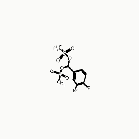 CS(=O)(=O)OC(OS(C)(=O)=O)c1ccc(F)c(Br)c1